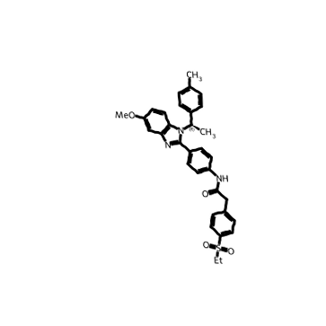 CCS(=O)(=O)c1ccc(CC(=O)Nc2ccc(-c3nc4cc(OC)ccc4n3[C@H](C)c3ccc(C)cc3)cc2)cc1